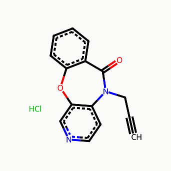 C#CCN1C(=O)c2ccccc2Oc2cnccc21.Cl